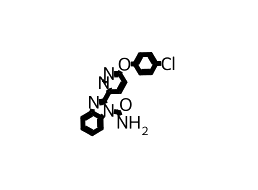 NC(=O)n1c(-c2ccc(Oc3ccc(Cl)cc3)nn2)nc2ccccc21